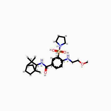 COCCNc1ccc(C(=O)NC2C3(C)CCC(C3)C2(C)C)cc1S(=O)(=O)N1CCCC1